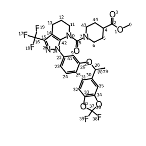 COC(=O)C1CCN(C(=O)N2CCCc3c(C(F)(F)F)nn(-c4cccc(O[C@@H](C)c5ccc6c(c5)OC(F)(F)O6)c4)c32)CC1